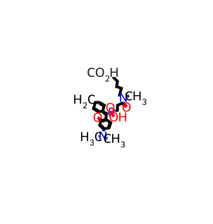 C=c1ccc2c(c1)Oc1cc(N(C)C)ccc1C=2P(=O)(O)CCC(=O)N(C)CCCCCC(=O)O